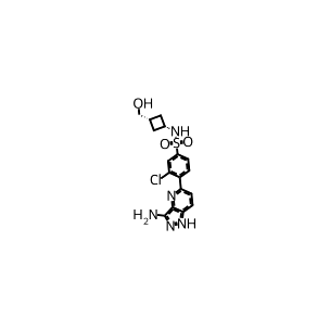 Nc1n[nH]c2ccc(-c3ccc(S(=O)(=O)N[C@H]4C[C@@H](CO)C4)cc3Cl)nc12